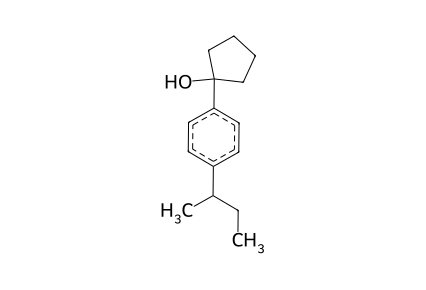 CCC(C)c1ccc(C2(O)CCCC2)cc1